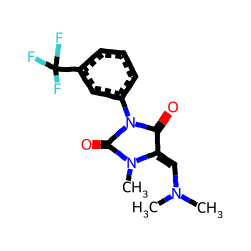 CN(C)/C=C1/C(=O)N(c2cccc(C(F)(F)F)c2)C(=O)N1C